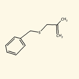 C=C(C)CSCc1ccccc1